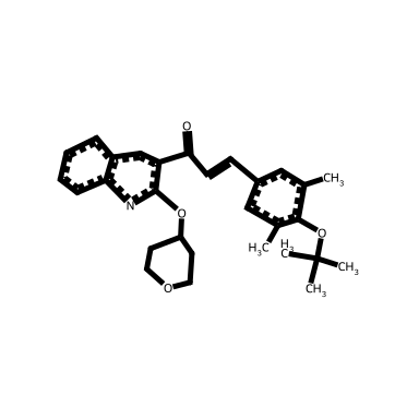 Cc1cc(/C=C/C(=O)c2cc3ccccc3nc2OC2CCOCC2)cc(C)c1OC(C)(C)C